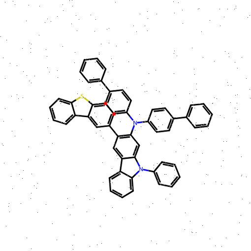 c1ccc(-c2ccc(N(c3ccc(-c4ccccc4)cc3)c3cc4c(cc3-c3ccc5sc6ccccc6c5c3)c3ccccc3n4-c3ccccc3)cc2)cc1